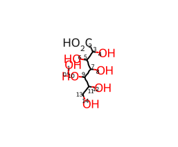 CO.O=C(O)C(O)C(O)C(O)C(O)C(O)CO